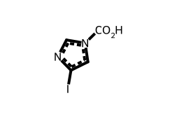 O=C(O)n1cnc(I)c1